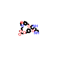 CCC(C[C@H]1C[C@H](c2ccc(COCCOC)cc2)[C@@H](OCc2ccc3c(c2)N(CCCOC)CCO3)CN1)C(=O)NC